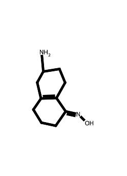 NC1CCC2=C(CCC/C2=N\O)C1